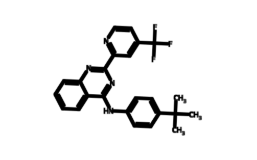 CC(C)(C)c1ccc(Nc2nc(-c3cc(C(F)(F)F)ccn3)nc3ccccc23)cc1